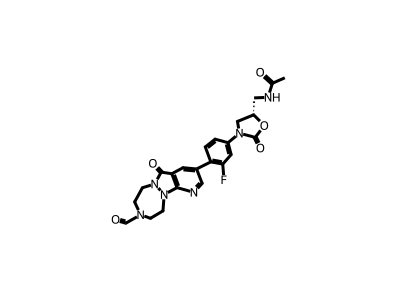 CC(=O)NC[C@H]1CN(c2ccc(-c3cnc4c(c3)c(=O)n3n4CCN(C=O)CC3)c(F)c2)C(=O)O1